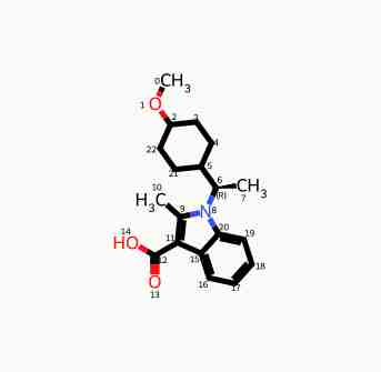 COC1CCC([C@@H](C)n2c(C)c(C(=O)O)c3ccccc32)CC1